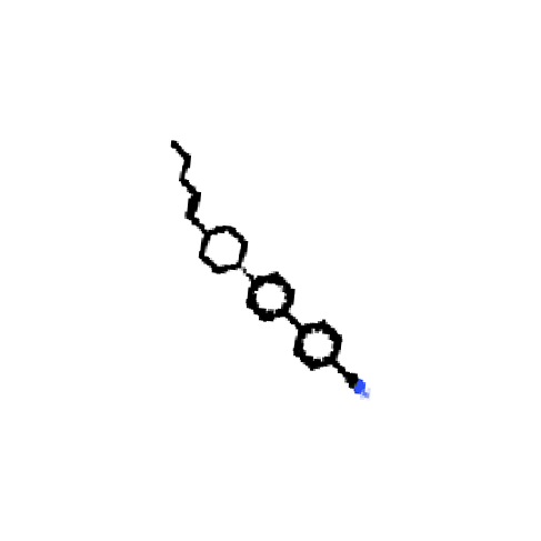 CCC/C=C/[C@H]1CC[C@H](c2ccc(-c3ccc(C#N)cc3)cc2)CC1